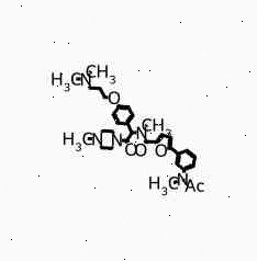 CC(=O)N(C)c1cccc(-c2ccc(C(=O)N(C)C(C(=O)N3CCN(C)CC3)c3ccc(OCCCN(C)C)cc3)o2)c1